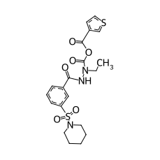 CCN(NC(=O)c1cccc(S(=O)(=O)N2CCCCC2)c1)C(=O)OC(=O)c1ccsc1